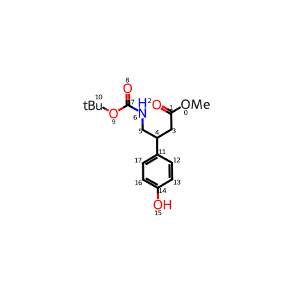 COC(=O)CC(CNC(=O)OC(C)(C)C)c1ccc(O)cc1